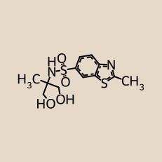 Cc1nc2ccc(S(=O)(=O)NC(C)(CO)CO)cc2s1